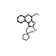 CCn1nc2c(N)nc3ccccc3c2c1CC1(O)CCCC1